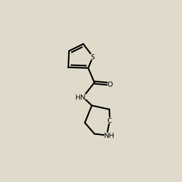 O=C(NC1CCNCC1)c1cccs1